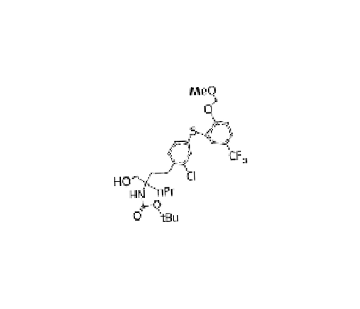 CCCC(CO)(CCc1ccc(Sc2cc(C(F)(F)F)ccc2OCOC)cc1Cl)NC(=O)OC(C)(C)C